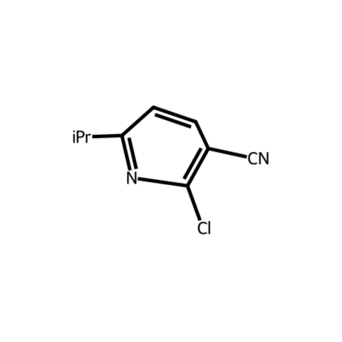 CC(C)c1ccc(C#N)c(Cl)n1